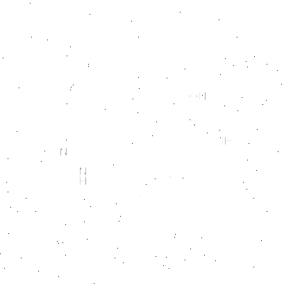 ON(O)c1ccc2[nH]ncc2c1